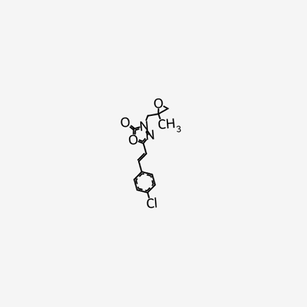 CC1(Cn2nc(C=Cc3ccc(Cl)cc3)oc2=O)CO1